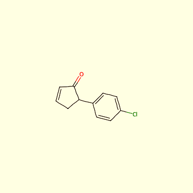 O=C1C=CCC1c1ccc(Cl)cc1